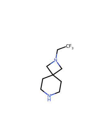 FC(F)(F)CN1CC2(CCNCC2)C1